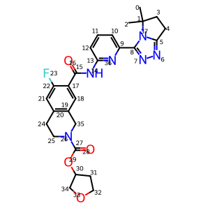 CC1(C)CCc2nnc(-c3cccc(NC(=O)c4cc5c(cc4F)CCN(C(=O)OC4CCOC4)C5)n3)n21